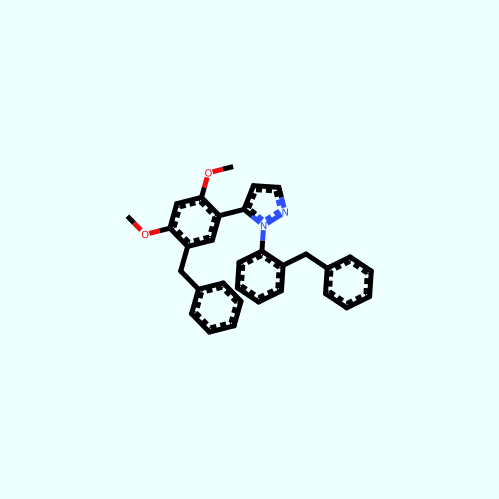 COc1cc(OC)c(-c2ccnn2-c2ccccc2Cc2ccccc2)cc1Cc1ccccc1